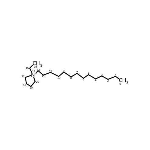 CCCCCCCCCCCCCC[N+]1(CC)CCCC1